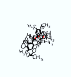 COc1c(C)cc(C)c(C([C@@H]2[C@@H]3SCC(=O)C(=O)OC[C@@H](c4c5c(c(C)c(OC(C)=O)c43)OCO5)N2C#N)N(C)C)c1O